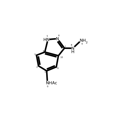 CC(=O)Nc1ccc2[nH]nc(NN)c2c1